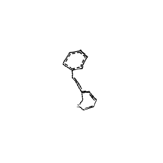 C1=CSC(=Cc2ccccc2)C=C1